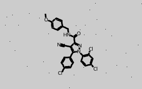 COc1ccc(CNC(=O)c2nn(-c3ccc(Cl)cc3Cl)c(-c3ccc(Cl)cc3)c2C#N)cc1